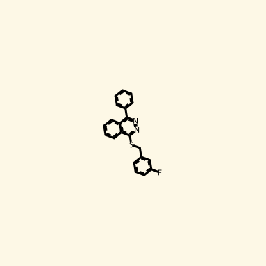 Fc1cccc(CSc2nnc(-c3ccccc3)c3ccccc23)c1